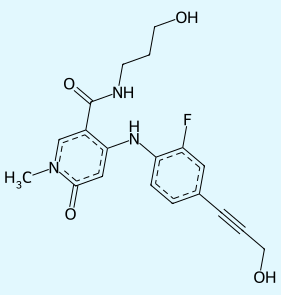 Cn1cc(C(=O)NCCCO)c(Nc2ccc(C#CCO)cc2F)cc1=O